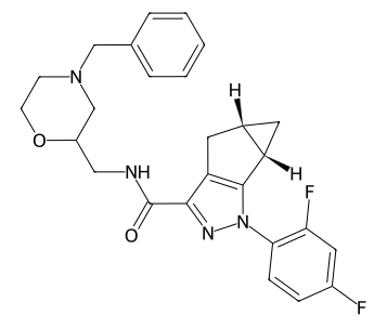 O=C(NCC1CN(Cc2ccccc2)CCO1)c1nn(-c2ccc(F)cc2F)c2c1C[C@@H]1C[C@H]21